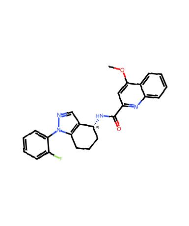 COc1cc(C(=O)N[C@@H]2CCCc3c2cnn3-c2ccccc2F)nc2ccccc12